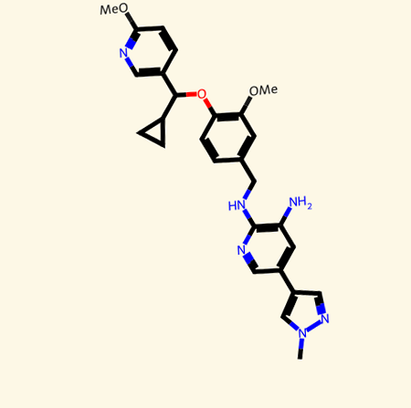 COc1ccc(C(Oc2ccc(CNc3ncc(-c4cnn(C)c4)cc3N)cc2OC)C2CC2)cn1